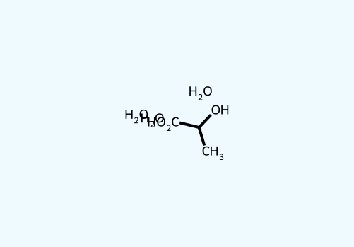 CC(O)C(=O)O.O.O.O